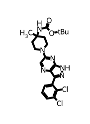 CC1(NC(=O)OC(C)(C)C)CCN(c2cnc3c(-c4cccc(Cl)c4Cl)n[nH]c3n2)CC1